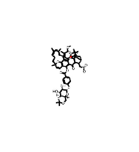 COC(=O)/C(C)=C\CC12OC(C)(C)C3CC(C1=O)C(C[N+](=O)[O-])C1C(=O)c4c(OC(=O)c5ccc(O[C@@H]6O[C@@H]7COC(C)(C)O[C@H]7[C@H](O)[C@H]6O)cc5)c5c(c(CC=C(C)C)c4OC132)OC(C)(CCC=C(C)C)C=C5